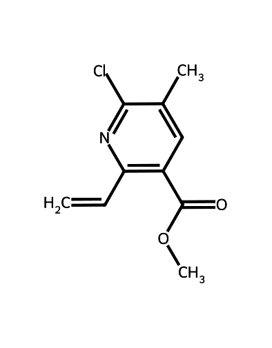 C=Cc1nc(Cl)c(C)cc1C(=O)OC